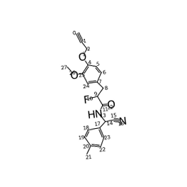 C#CCOc1ccc(CC(F)C(=O)NC(C#N)c2ccc(C)cc2)cc1OC